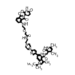 Cc1cc(C)c(CNC(=O)c2cc(-c3ccc(N4CCN(CCNC(=O)CCOCCNc5cccc6c5C(=O)N(C5CCC(=O)NC5=O)C6=O)CC4)nc3)cc3c2c(C)cn3C(C)C)c(=O)[nH]1